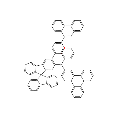 c1ccc(N(c2ccc3c4ccccc4c4ccccc4c3c2)c2cc3c(cc2-c2ccc(-c4cc5ccccc5c5ccccc45)cc2)-c2ccccc2C32c3ccccc3-c3ccccc32)cc1